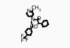 Cc1cc(N(CCc2ccc(C(F)(F)F)cc2)C(=O)C(O)c2ccccc2)ccn1